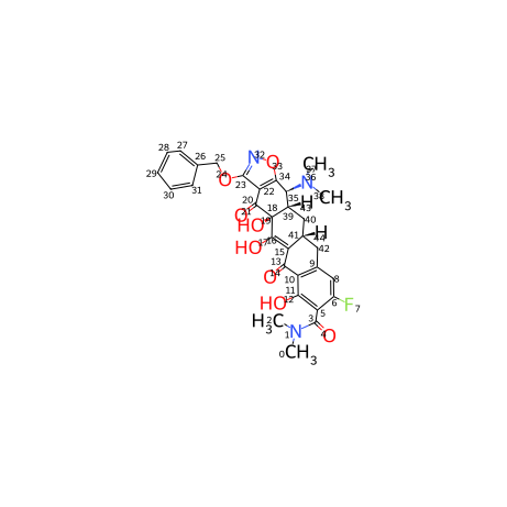 CN(C)C(=O)c1c(F)cc2c(c1O)C(=O)C1=C(O)[C@]3(O)C(=O)c4c(OCc5ccccc5)noc4[C@@H](N(C)C)[C@@H]3C[C@@H]1C2